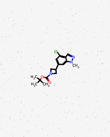 Cn1ncc2c(Cl)cc(C3CN(C(=O)OC(C)(C)C)C3)cc21